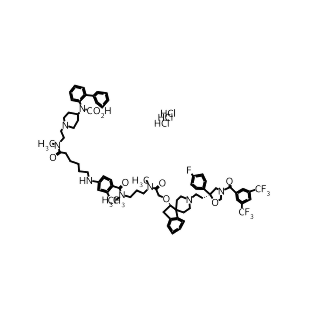 Cc1cc(NCCCCCC(=O)N(C)CCN2CCC(N(C(=O)O)c3ccccc3-c3ccccc3)CC2)ccc1C(=O)N(C)CCCN(C)C(=O)CO[C@H]1Cc2ccccc2C12CCN(CC[C@]1(c3ccc(F)cc3)CN(C(=O)c3cc(C(F)(F)F)cc(C(F)(F)F)c3)CO1)CC2.Cl.Cl.Cl